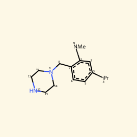 CNc1cc(C(C)C)ccc1CN1CCNCC1